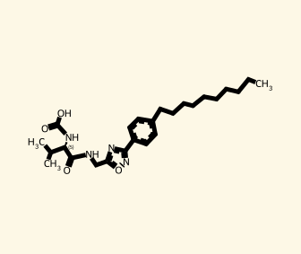 CCCCCCCCCCc1ccc(-c2noc(CNC(=O)[C@@H](NC(=O)O)C(C)C)n2)cc1